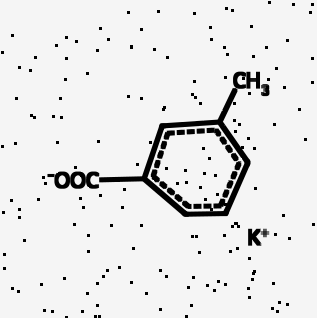 Cc1cccc(C(=O)[O-])c1.[K+]